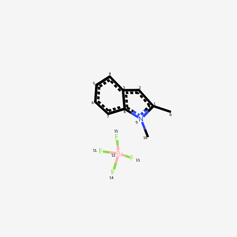 Cc1cc2ccccc2n1C.F[B-](F)(F)F